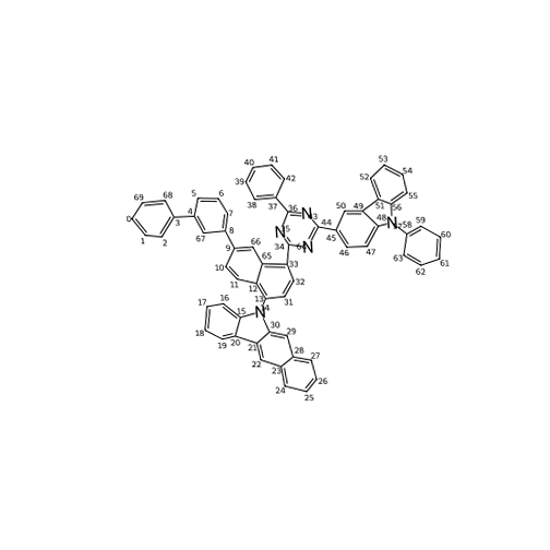 c1ccc(-c2cccc(-c3ccc4c(-n5c6ccccc6c6cc7ccccc7cc65)ccc(-c5nc(-c6ccccc6)nc(-c6ccc7c(c6)c6ccccc6n7-c6ccccc6)n5)c4c3)c2)cc1